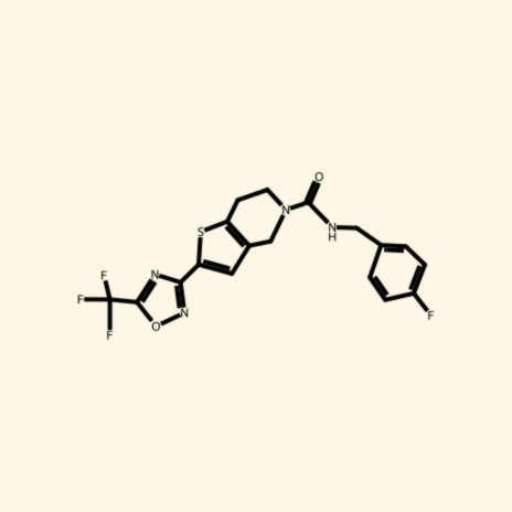 O=C(NCc1ccc(F)cc1)N1CCc2sc(-c3noc(C(F)(F)F)n3)cc2C1